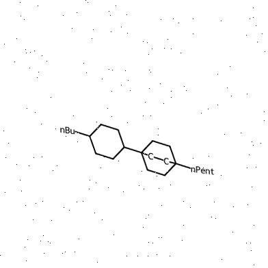 CCCCCC12CCC(C3CCC(CCCC)CC3)(CC1)CC2